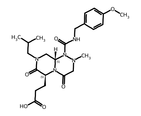 COc1ccc(CNC(=O)N2[C@H]3CN(CC(C)C)C(=O)[C@H](CCC(=O)O)N3C(=O)CN2C)cc1